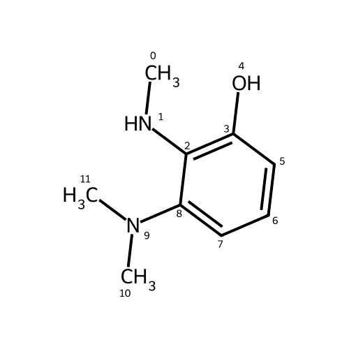 CNc1c(O)cccc1N(C)C